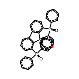 O=P(c1ccccc1)(c1ccccc1)c1cccc2c1S(=O)(=O)c1c-2cccc1P(=O)(c1ccccc1)c1ccccc1